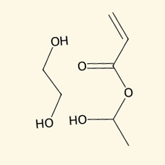 C=CC(=O)OC(C)O.OCCO